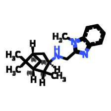 C[C@@H]1[C@H]2C[C@@H](C[C@H]1NCc1nc3ccccc3n1C)C2(C)C